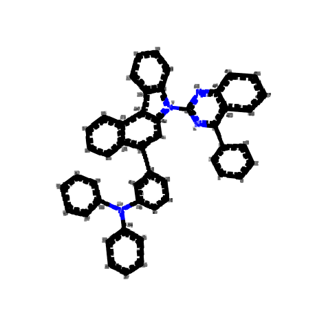 c1ccc(-c2nc(-n3c4ccccc4c4c5ccccc5c(-c5cccc(N(c6ccccc6)c6ccccc6)c5)cc43)nc3ccccc23)cc1